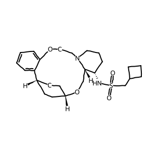 O=S(=O)(CC1CCC1)N[C@H]1CCCN2CCOc3ccccc3[C@H]3CC[C@H](CC3)OC[C@@H]12